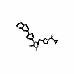 O=C(C1CC1)N1CCC(Cc2n[nH]c(=O)n2-c2ccc(-c3ccc4cccnc4c3)cc2)C1